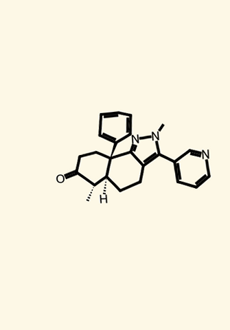 C[C@@H]1C(=O)CC[C@]2(c3ccccc3)c3nn(C)c(-c4cccnc4)c3CC[C@@H]12